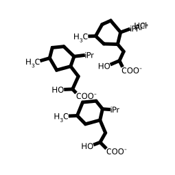 CC1CCC(C(C)C)C(CC(O)C(=O)[O-])C1.CC1CCC(C(C)C)C(CC(O)C(=O)[O-])C1.CC1CCC(C(C)C)C(CC(O)C(=O)[O-])C1.Cl.[Al+3]